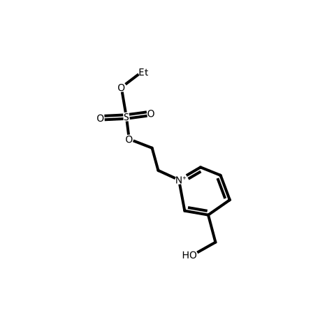 CCOS(=O)(=O)OCC[n+]1cccc(CO)c1